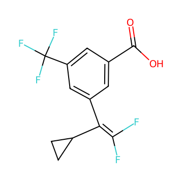 O=C(O)c1cc(C(=C(F)F)C2CC2)cc(C(F)(F)F)c1